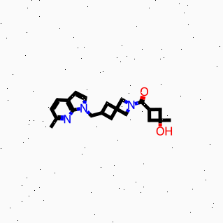 Cc1ccc2ccn(CC3CC4(C3)CN(C(=O)C3CC(C)(O)C3)C4)c2n1